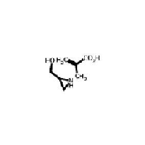 C=C(C)C(=O)O.OCC1CN1